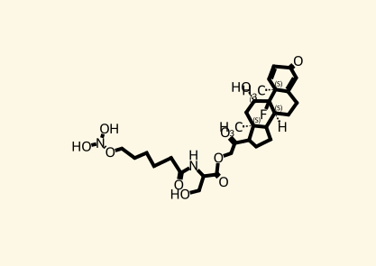 C[C@]12C[C@H](O)C3(F)[C@@H](CCC4=CC(=O)C=C[C@@]43C)C1CCC2C(=O)COC(=O)C(CO)NC(=O)CCCCCON(O)O